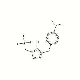 CC(C)c1ccc(Cn2ccn(CC(F)(F)F)c2=O)cc1